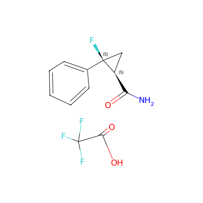 NC(=O)[C@@H]1C[C@@]1(F)c1ccccc1.O=C(O)C(F)(F)F